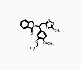 CCOc1cc(C(Cc2nnc(C)o2)N2Cc3ccccc3C2=O)ccc1OC